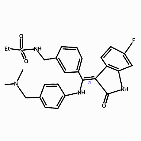 CCS(=O)(=O)NCc1cccc(/C(Nc2ccc(CN(C)C)cc2)=C2/C(=O)Nc3cc(F)ccc32)c1